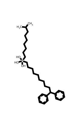 CC(C)CCCCCCCP(O)(O)(O)CCCCCCCCCC(c1ccccc1)c1ccccc1